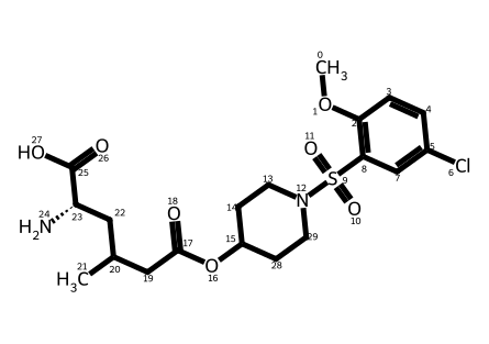 COc1ccc(Cl)cc1S(=O)(=O)N1CCC(OC(=O)CC(C)C[C@H](N)C(=O)O)CC1